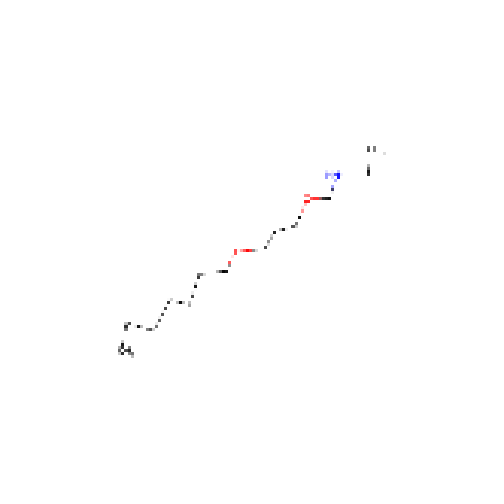 CCCCCCCOCCCOCNCC